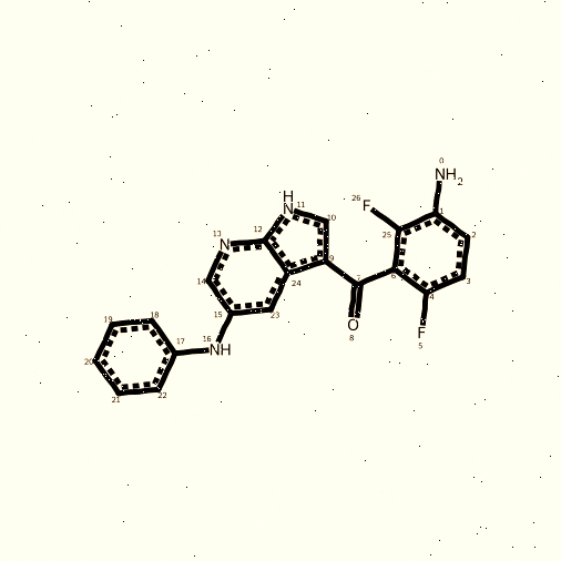 Nc1ccc(F)c(C(=O)c2c[nH]c3ncc(Nc4ccccc4)cc23)c1F